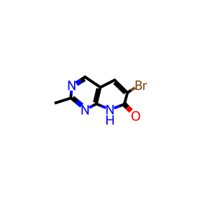 Cc1ncc2cc(Br)c(=O)[nH]c2n1